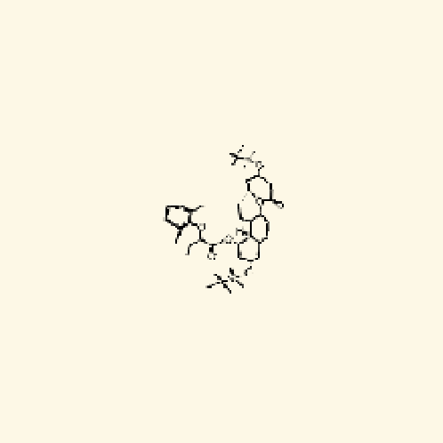 CCC(Oc1c(C)cccc1C)C(=O)O[C@H]1C[C@H](O[Si](C)(C)C(C)(C)C)C=C2C=C[C@H](C)[C@H](CC[C@@H]3C[C@@H](O[Si](C)(C)C(C)(C)C)CC(=O)O3)[C@H]21